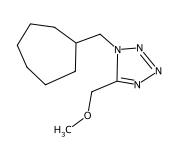 COCc1nnnn1CC1CCCCCC1